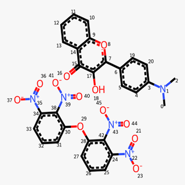 CN(C)c1ccc(-c2oc3ccccc3c(=O)c2O)cc1.O=[N+]([O-])c1cccc(Oc2cccc([N+](=O)[O-])c2[N+](=O)[O-])c1[N+](=O)[O-]